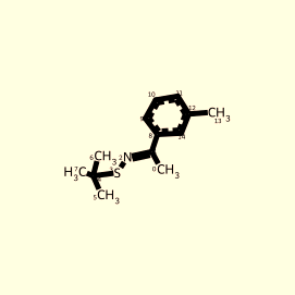 C/C(=N\SC(C)(C)C)c1cccc(C)c1